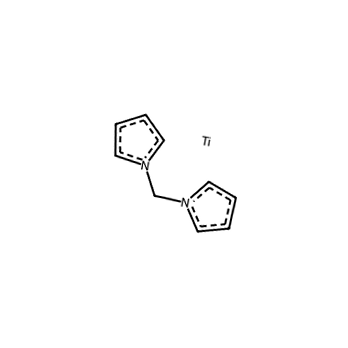 [Ti].c1ccn(Cn2cccc2)c1